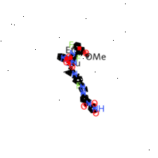 CCc1c(F)ccc2cc(OCOC)cc(-c3ncc4c(N5CC6CCC(C5)N6C(=O)OC(C)(C)C)nc(OCC5(CN6CC7(CCC(F)(CN8CCN(c9ccc%10c(c9)CN([C@H]9CCC(=O)NC9=O)C%10=O)CC8)CC7)C6)CC5)nc4c3F)c12